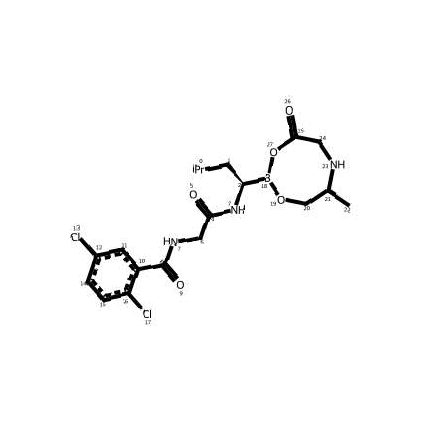 CC(C)C[C@H](NC(=O)CNC(=O)c1cc(Cl)ccc1Cl)B1OCC(C)NCC(=O)O1